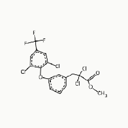 COC(=O)C(Cl)(Cl)Cc1cccc(Oc2c(Cl)cc(C(F)(F)F)cc2Cl)c1